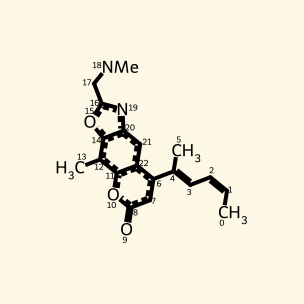 C/C=C\C=C(/C)c1cc(=O)oc2c(C)c3oc(CNC)nc3cc12